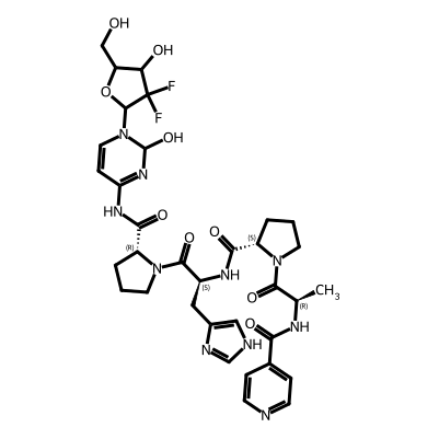 C[C@@H](NC(=O)c1ccncc1)C(=O)N1CCC[C@H]1C(=O)N[C@@H](Cc1c[nH]cn1)C(=O)N1CCC[C@@H]1C(=O)NC1=NC(O)N(C2OC(CO)C(O)C2(F)F)C=C1